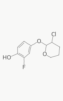 Oc1ccc(OC2OCCCC2Cl)cc1F